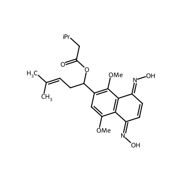 COc1cc(C(CC=C(C)C)OC(=O)CC(C)C)c(OC)c2c1/C(=N/O)C=C/C2=N\O